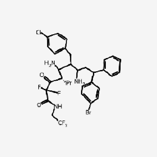 CC(C)[C@H](C(=O)C(F)(F)C(=O)NCC(F)(F)F)C(N)[C@@H](Cc1ccc(Cl)cc1)C(N)CC(c1ccccc1)c1ccc(Br)cc1